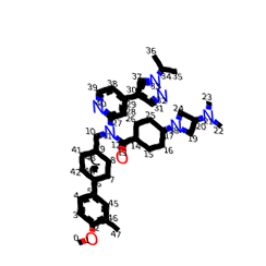 COc1ccc(C23CCC(CN(C(=O)C4CCC(N5CC(N(C)C)C5)CC4)c4cc(-c5cnn(C(C)C)c5)ccn4)(CC2)CC3)cc1C